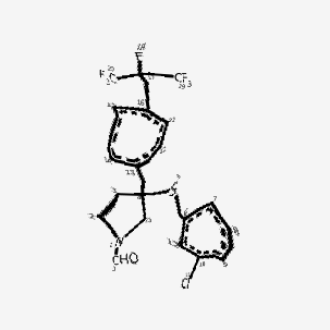 O=CN1CCC(Sc2cccc(Cl)c2)(c2ccc(C(F)(C(F)(F)F)C(F)(F)F)cc2)C1